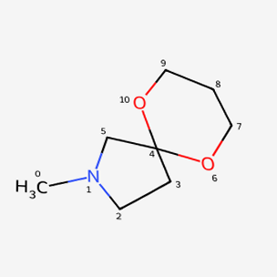 CN1CCC2(C1)OCCCO2